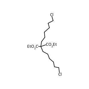 CCOC(=O)C(CCCCCCCl)(CCCCCCCl)C(=O)OCC